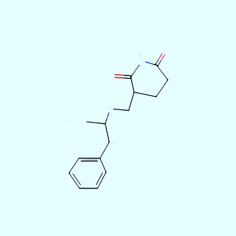 O=C1CCC(CNC(Cc2ccccc2)C(=O)O)C(=O)N1